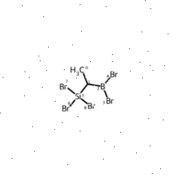 CC(B(Br)Br)[Si](Br)(Br)Br